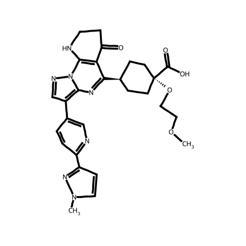 COCCO[C@]1(C(=O)O)CC[C@@H](c2nc3c(-c4ccc(-c5ccn(C)n5)nc4)cnn3c3c2C(=O)CCN3)CC1